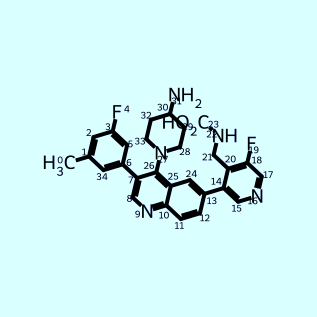 Cc1cc(F)cc(-c2cnc3ccc(-c4cncc(F)c4CNC(=O)O)cc3c2N2CCC(N)CC2)c1